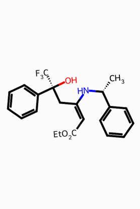 CCOC(=O)/C=C(\C[C@](O)(c1ccccc1)C(F)(F)F)N[C@H](C)c1ccccc1